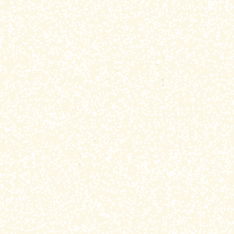 Cn1nc(-c2ccc(C(F)(F)F)cc2)cc1COc1ccc(OC(C)(C)C(=O)O)cc1